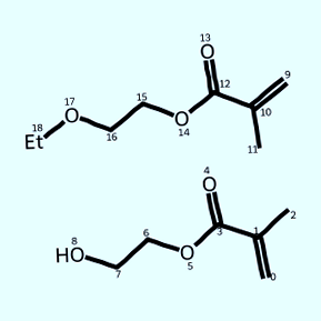 C=C(C)C(=O)OCCO.C=C(C)C(=O)OCCOCC